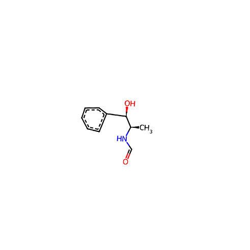 C[C@@H](NC=O)[C@H](O)c1ccccc1